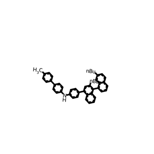 CCCCc1ccc2cccc(-c3c(CCCC)cc(-c4ccc(Nc5ccc(-c6ccc(C)cc6)cc5)cc4)c4ccccc34)c2c1